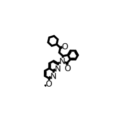 COc1ccc2ccc(N3C(=O)c4ccccc4C3CC(=O)C3CCCCC3)nc2n1